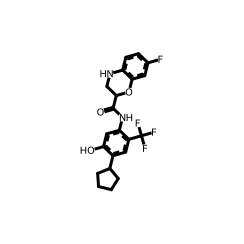 O=C(Nc1cc(O)c(C2CCCC2)cc1C(F)(F)F)C1CNc2ccc(F)cc2O1